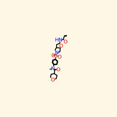 C=CC(=O)NC1CC2CN(S(=O)(=O)c3ccc(N(C)C(=O)C4CCOCC4)cc3)CC2O1